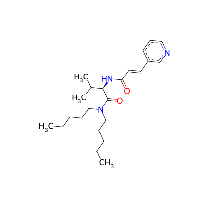 CCCCCN(CCCCC)C(=O)[C@H](NC(=O)C=Cc1cccnc1)C(C)C